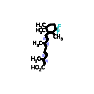 CC1=C(/C=C/C(C)=C/C=C/C(C)=C/C(=O)O)C(C)(C)CCC1(F)F